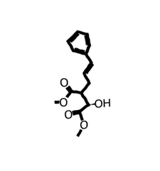 COC(=O)C(CC=Cc1ccccc1)[C@H](O)C(=O)OC